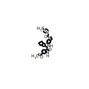 COC(=O)c1ccc2c(c1)NC(=O)/C2=C(\Nc1ccc2c(c1)CCN2C(=O)CN1CCN(C)CC1)C1Cc2ccccc2C1